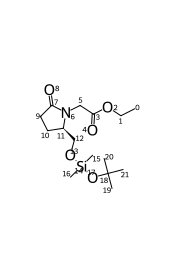 CCOC(=O)CN1C(=O)CC[C@@H]1CO[Si](C)(C)OC(C)(C)C